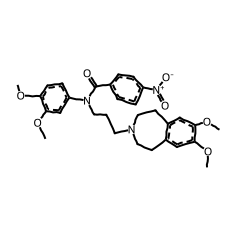 COc1ccc(N(CCCN2CCc3cc(OC)c(OC)cc3CC2)C(=O)c2ccc([N+](=O)[O-])cc2)cc1OC